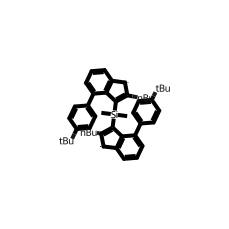 CCCCC1=C([Si](C)(C)C2=C(CCCC)[CH]c3cccc(-c4ccc(C(C)(C)C)cc4)c32)c2c(cccc2-c2ccc(C(C)(C)C)cc2)[CH]1